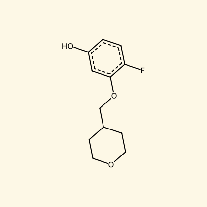 Oc1ccc(F)c(OCC2CCOCC2)c1